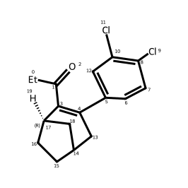 CCC(=O)C1=C(c2ccc(Cl)c(Cl)c2)CC2CC[C@@H]1C2